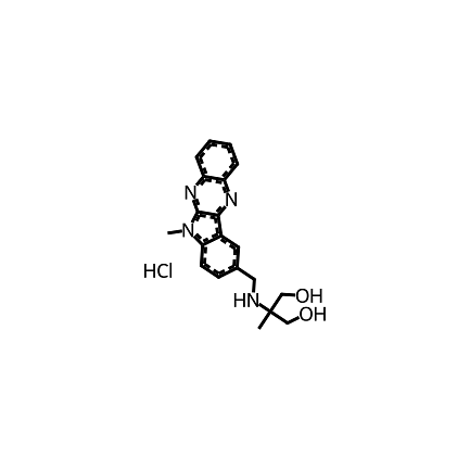 Cl.Cn1c2ccc(CNC(C)(CO)CO)cc2c2nc3ccccc3nc21